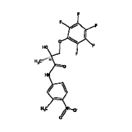 Cc1cc(NC(=O)[C@@](C)(O)COc2c(F)c(F)c(F)c(F)c2F)ccc1[N+](=O)[O-]